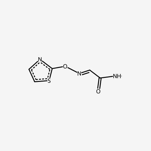 [NH]C(=O)C=NOc1nccs1